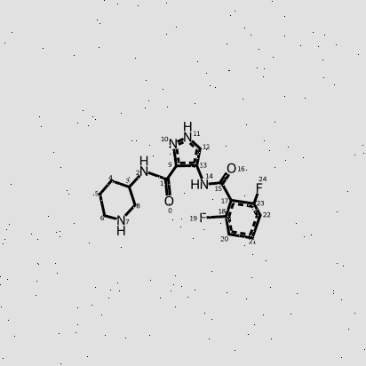 O=C(NC1CCCNC1)c1n[nH]cc1NC(=O)c1c(F)cccc1F